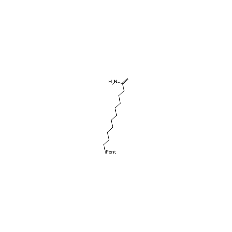 C=C(N)CCCCCCCCCCC(C)CCC